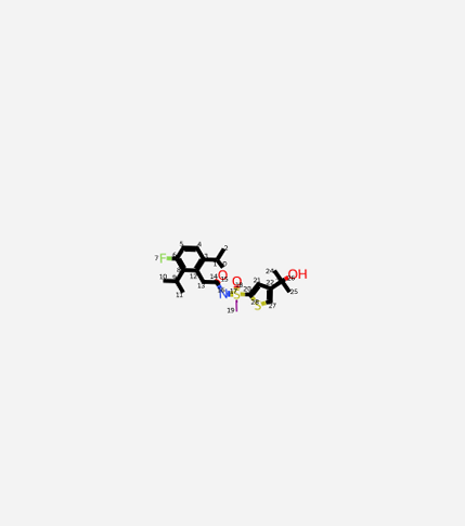 CC(C)c1ccc(F)c(C(C)C)c1CC(=O)N=[S@](=O)(I)c1cc(C(C)(C)O)cs1